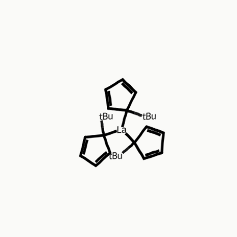 CC(C)(C)[C]1([La]([C]2(C(C)(C)C)C=CC=C2)[C]2(C(C)(C)C)C=CC=C2)C=CC=C1